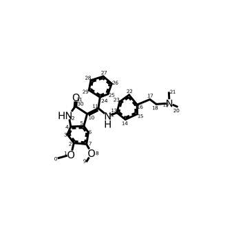 COc1cc2c(cc1OC)C(=C(Nc1ccc(CCN(C)C)cc1)c1ccccc1)C(=O)N2